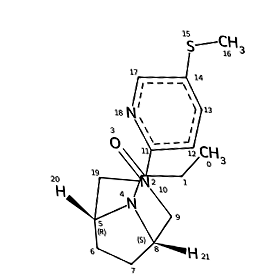 CCC(=O)N1[C@@H]2CC[C@H]1CN(c1ccc(SC)cn1)C2